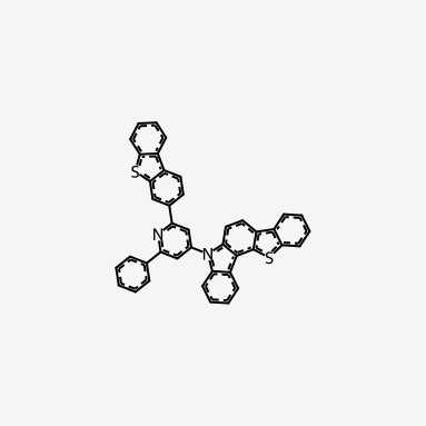 c1ccc(-c2cc(-n3c4ccccc4c4c5sc6ccccc6c5ccc43)cc(-c3ccc4c(c3)sc3ccccc34)n2)cc1